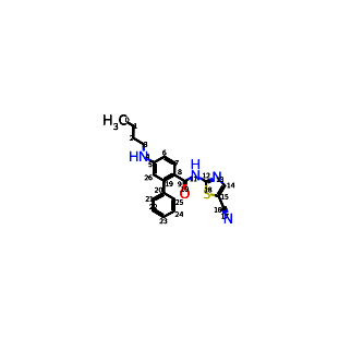 CCCCNc1ccc(C(=O)Nc2ncc(C#N)s2)c(-c2ccccc2)c1